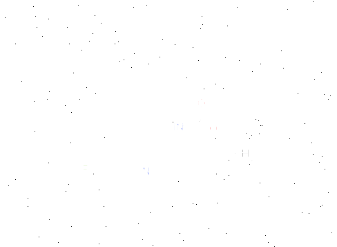 C=CCCC(NC(=O)OCc1ccccc1)c1cc2ccc(F)cc2nc1-c1ccccc1